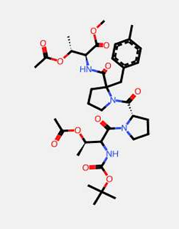 COC(=O)[C@@H](NC(=O)C1(Cc2ccc(C)cc2)CCCN1C(=O)[C@@H]1CCCN1C(=O)C(NC(=O)OC(C)(C)C)[C@@H](C)OC(C)=O)[C@@H](C)OC(C)=O